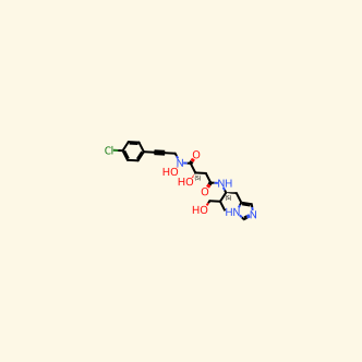 CC(CO)[C@H](Cc1cnc[nH]1)NC(=O)C[C@H](O)C(=O)N(O)CC#Cc1ccc(Cl)cc1